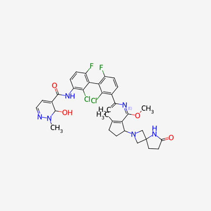 C=C(/N=C(/OC)C1=C(C)CCC1N1CC2(CCC(=O)N2)C1)c1ccc(F)c(-c2c(F)ccc(NC(=O)C3=CC=NN(C)C3O)c2Cl)c1Cl